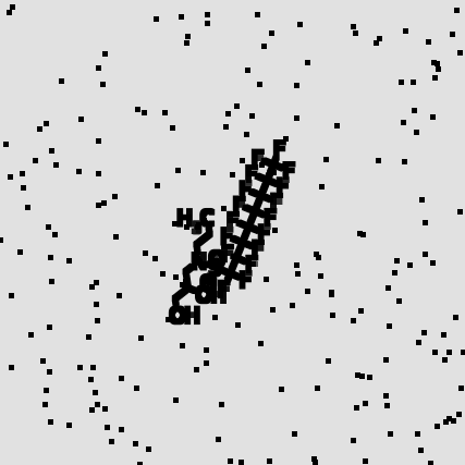 CCCN(CC(O)CO)S(=O)(=O)C(F)(F)C(F)(F)C(F)(F)C(F)(F)C(F)(F)C(F)(F)C(F)(F)C(F)(F)F